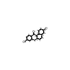 O=C1c2ccc(Cl)cc2Cc2ccc3cc(Cl)ccc3c21